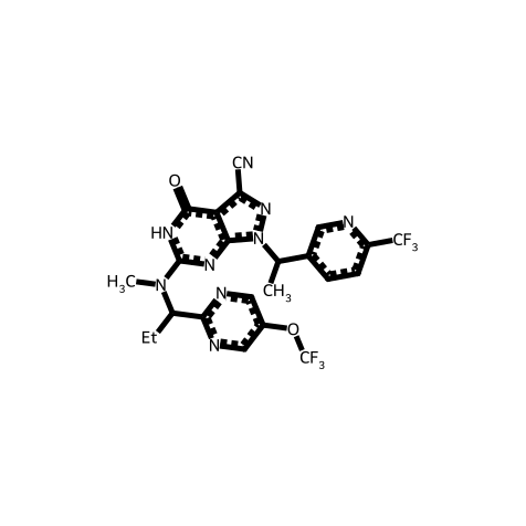 CCC(c1ncc(OC(F)(F)F)cn1)N(C)c1nc2c(c(C#N)nn2C(C)c2ccc(C(F)(F)F)nc2)c(=O)[nH]1